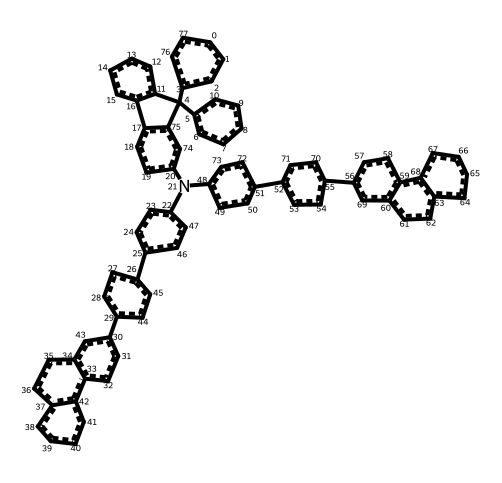 c1ccc(C2(c3ccccc3)c3ccccc3-c3ccc(N(c4ccc(-c5ccc(-c6ccc7c(ccc8ccccc87)c6)cc5)cc4)c4ccc(-c5ccc(-c6ccc7c(ccc8ccccc87)c6)cc5)cc4)cc32)cc1